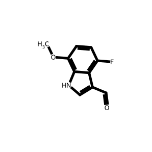 COc1ccc(F)c2c(C=O)c[nH]c12